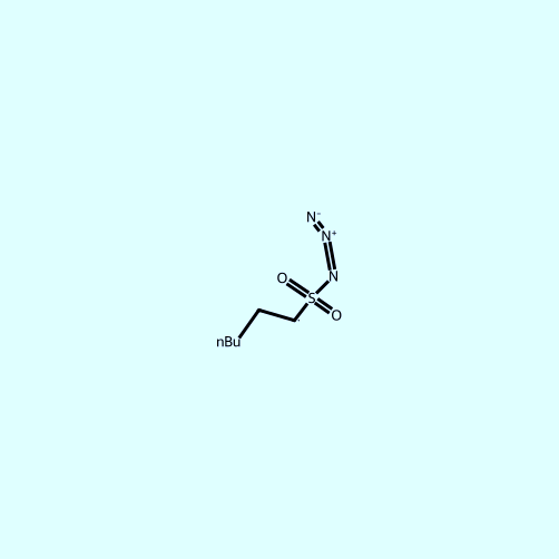 CCCCC[CH]S(=O)(=O)N=[N+]=[N-]